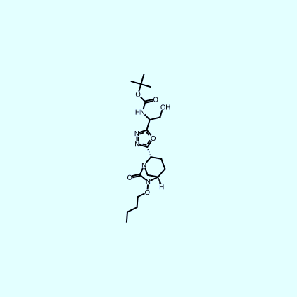 CCCCON1C(=O)N2C[C@@H]1CC[C@H]2c1nnc(C(CO)NC(=O)OC(C)(C)C)o1